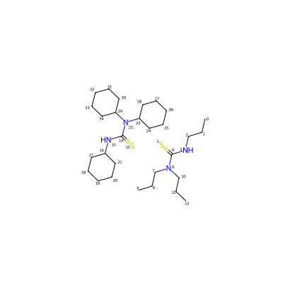 CCCNC(=S)N(CCC)CCC.S=C(NC1CCCCC1)N(C1CCCCC1)C1CCCCC1